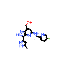 Cc1cc(-c2[nH]nc3c(CO)cc(N[C@@H](C)c4ccc(F)cn4)nc23)n[nH]1